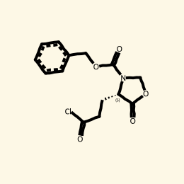 O=C(Cl)CC[C@H]1C(=O)OCN1C(=O)OCc1ccccc1